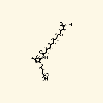 Cc1cc(SCCCC(=O)O)c(NC(=O)CCCCCCCCCCCC(=O)O)s1